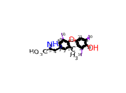 Cc1cc(C[C@@H](N)C(=O)O)cc(I)c1Oc1cc(I)c(O)c(I)c1